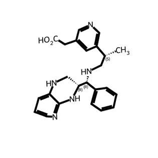 C[C@H](CN[C@H](c1ccccc1)[C@H]1CNc2cccnc2N1)c1cncc(CC(=O)O)c1